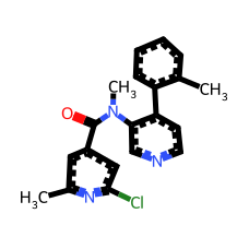 Cc1cc(C(=O)N(C)c2cnccc2-c2ccccc2C)cc(Cl)n1